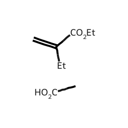 C=C(CC)C(=O)OCC.CC(=O)O